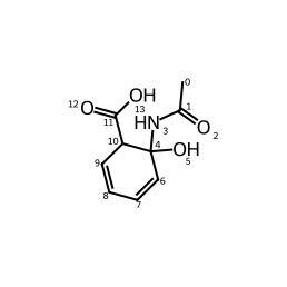 CC(=O)NC1(O)C=CC=CC1C(=O)O